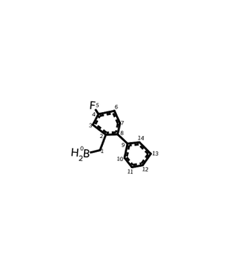 BCc1cc(F)ccc1-c1ccccc1